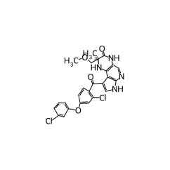 COC[C@]1(C)Nc2c(cnc3[nH]cc(C(=O)c4ccc(Oc5cccc(Cl)c5)cc4Cl)c23)NC1=O